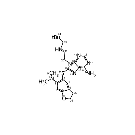 CN(C)c1cc2c(cc1Sc1nc3c(N)ncnc3n1CCNCC(C)(C)C)CCO2